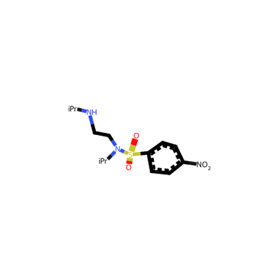 CC(C)NCCN(C(C)C)S(=O)(=O)c1ccc([N+](=O)[O-])cc1